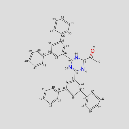 CC(=O)c1nc(-c2cc(-c3ccccc3)cc(-c3ccccc3)c2)nc(-c2cc(-c3ccccc3)cc(-c3ccccc3)c2)n1